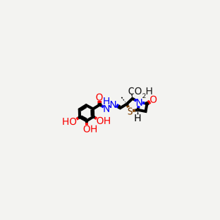 C[C@@]1(/C=N/NC(=O)c2ccc(O)c(O)c2O)S[C@@H]2CC(=O)N2[C@H]1C(=O)O